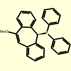 COC1=Cc2ccccc2[C@H](P(c2ccccc2)c2ccccc2)c2ccccc21